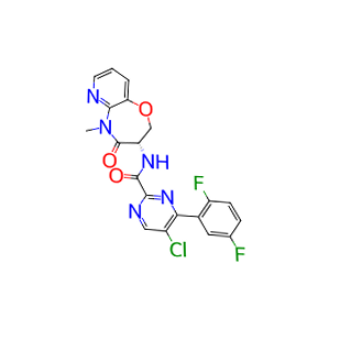 CN1C(=O)[C@@H](NC(=O)c2ncc(Cl)c(-c3cc(F)ccc3F)n2)COc2cccnc21